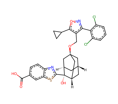 O=C(O)c1ccc2nc([C@@]3(O)[C@@H]4C[C@H]5C[C@H]3C[C@@](OCc3c(-c6c(Cl)cccc6Cl)noc3C3CC3)(C5)C4)sc2c1